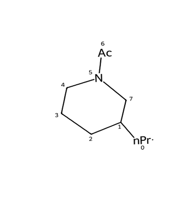 CC[CH]C1CCCN(C(C)=O)C1